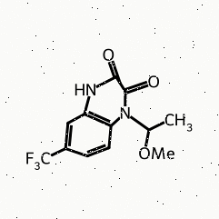 COC(C)n1c(=O)c(=O)[nH]c2cc(C(F)(F)F)ccc21